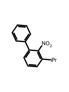 CC(C)c1cccc(-c2ccccc2)c1[N+](=O)[O-]